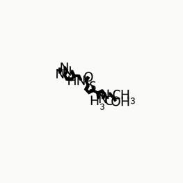 CC(C)(O)Cn1cc(-c2ccc(C(=O)NCc3ccc4ncnn4c3)s2)cn1